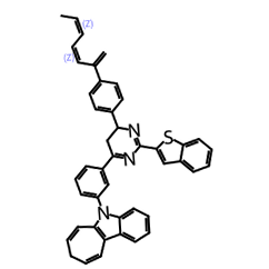 C=C(/C=C\C=C/C)c1ccc(C2CC(c3cccc(-n4c5c(c6ccccc64)C=CCC=C5)c3)=NC(c3cc4ccccc4s3)=N2)cc1